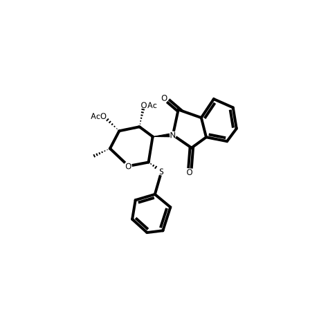 CC(=O)O[C@@H]1[C@H](OC(C)=O)[C@@H](N2C(=O)c3ccccc3C2=O)[C@H](Sc2ccccc2)O[C@@H]1C